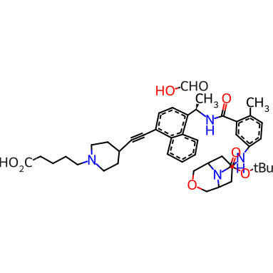 Cc1ccc(NC2CC3COCC(C2)N3C(=O)OC(C)(C)C)cc1C(=O)N[C@H](C)c1ccc(C#CC2CCN(CCCCC(=O)O)CC2)c2ccccc12.O=CO